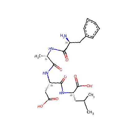 CC(C)C[C@H](NC(=O)[C@H](CC(=O)O)NC(=O)[C@H](C)NC(=O)[C@@H](N)Cc1ccccc1)C(=O)O